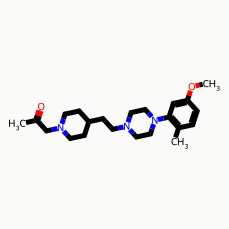 COc1ccc(C)c(N2CCN(CCC3CCN(CC(C)=O)CC3)CC2)c1